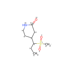 [CH2]S(=O)(=O)C(CC)C1CCNC(=O)C1